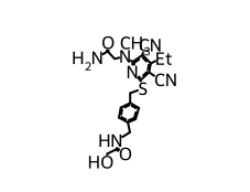 CCc1c(C#N)c(SCc2ccc(CNC(=O)CO)cc2)nc(N(C)CC(N)=O)c1C#N